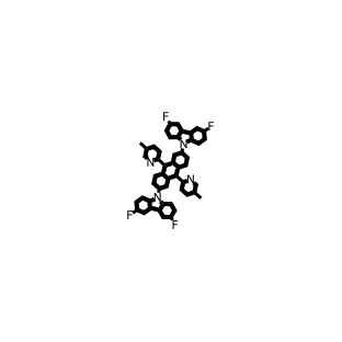 Cc1ccc(-c2c3ccc(-n4c5ccc(F)cc5c5cc(F)ccc54)cc3c(-c3ccc(C)cn3)c3ccc(-n4c5ccc(F)cc5c5cc(F)ccc54)cc23)nc1